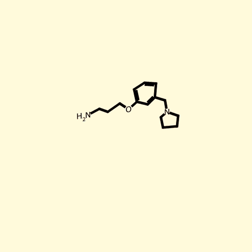 NCCCOc1cccc(CN2CCCC2)c1